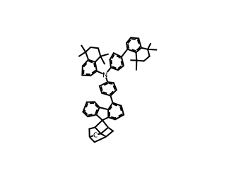 CC1(C)CCC(C)(C)c2c(-c3ccc(N(c4ccc(-c5cccc6c5-c5ccccc5C65C6CC7CC8CC5C86C7)cc4)c4cccc5c4C(C)(C)CCC5(C)C)cc3)cccc21